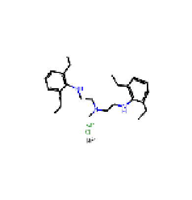 CCc1cccc(CC)c1NCCN(C)CCNc1c(CC)cccc1CC.[Cl-].[Cl-].[Ni+2]